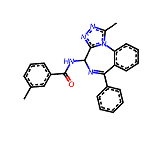 Cc1cccc(C(=O)NC2N=C(c3ccccc3)c3ccccc3-n3c(C)nnc32)c1